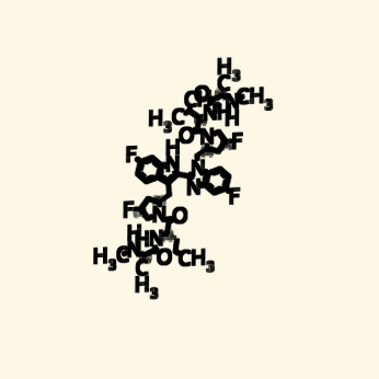 CCC[C@H](NC(=O)[C@H](C)NC)C(=O)N1C[C@@H](F)C[C@H]1Cc1c(-c2nc3cc(F)ccc3n2C[C@@H]2C[C@H](F)CN2C(=O)[C@@H](NC(=O)[C@H](C)NC)C(C)C)[nH]c2cc(F)ccc12